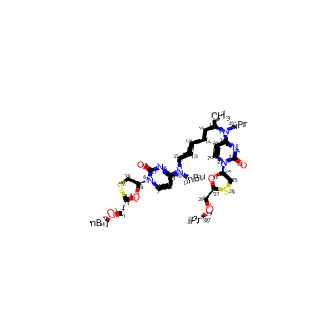 CCCCOC[C@H]1O[C@@H](n2ccc(N(CCCC)CCCCCC(C)N(c3ccn([C@H]4CS[C@@H](COC(C)C)O4)c(=O)n3)C(C)C)nc2=O)CS1